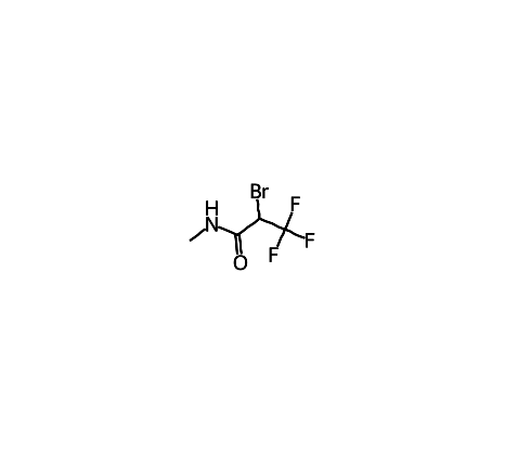 CNC(=O)C(Br)C(F)(F)F